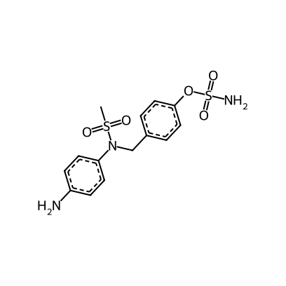 CS(=O)(=O)N(Cc1ccc(OS(N)(=O)=O)cc1)c1ccc(N)cc1